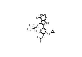 CC(C)(C)OCc1c(-c2ccc(OC(F)F)c(OC3CC3)c2)[nH]c2cn[nH]c(=O)c12